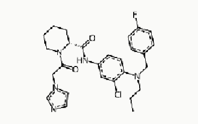 CCCN(Cc1ccc(F)cc1)c1ccc(NC(=O)[C@H]2CCCCN2C(=O)Cn2ccnc2)cc1Cl